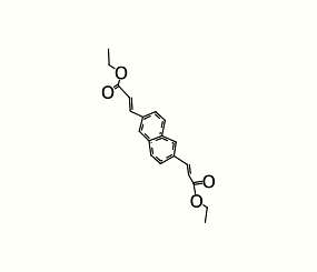 CCOC(=O)C=Cc1ccc2cc(C=CC(=O)OCC)ccc2c1